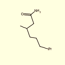 CC(C)CCCC(C)CC(N)=O